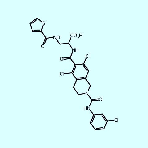 O=C(NC[C@H](NC(=O)c1c(Cl)cc2c(c1Cl)CCN(C(=O)Nc1cccc(Cl)c1)C2)C(=O)O)c1cccs1